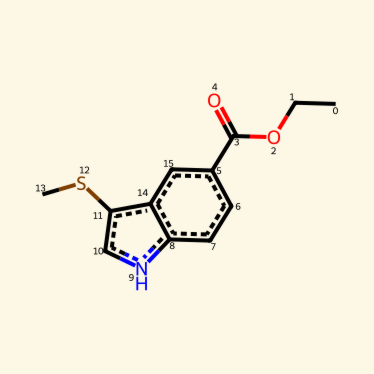 CCOC(=O)c1ccc2[nH]cc(SC)c2c1